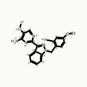 CCOc1ccc(Cn2nc(-c3ncc(OI)c(N)n3)c3ccccc32)c(F)c1